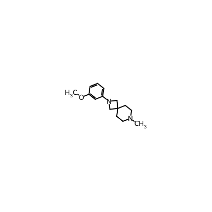 COc1cccc(N2CC3(CCN(C)CC3)C2)c1